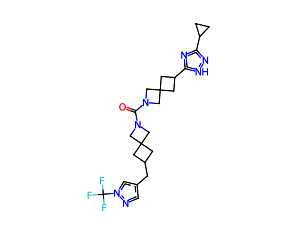 O=C(N1CC2(CC(Cc3cnn(C(F)(F)F)c3)C2)C1)N1CC2(CC(c3nc(C4CC4)n[nH]3)C2)C1